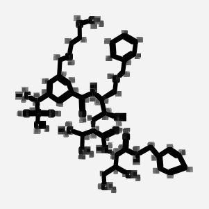 CCC(C)[C@H](NC(=O)[C@@H](C[C@H](O)[C@H](COCc1ccccc1)NC(=O)c1cc(COCCOC)cc(N(C)S(C)(=O)=O)c1)C(C)C)C(=O)NCc1ccccc1